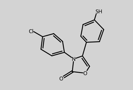 O=c1occ(-c2ccc(S)cc2)n1-c1ccc(Cl)cc1